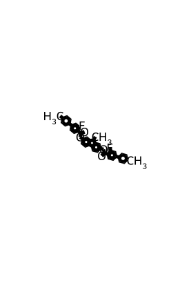 CC1CCC(c2ccc(C(=O)Oc3ccc4c(c3)C(C)c3cc(OC(=O)c5ccc(C6CCC(C)CC6)cc5F)ccc3-4)c(F)c2)CC1